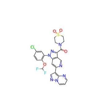 O=C(c1nn(-c2cc(Cl)ccc2OC(F)F)c2cc(-c3cnn4cccnc34)ncc12)N1CCS(=O)(=O)CC1